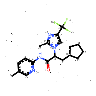 Cc1ccc(NC(=O)C(CC2CCCC2)n2cc(C(F)(F)F)nc2C)nc1